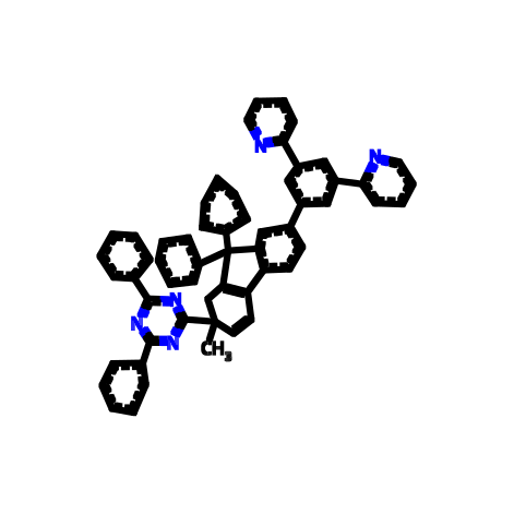 CC1(c2nc(-c3ccccc3)nc(-c3ccccc3)n2)C=CC2=C(C1)C(c1ccccc1)(c1ccccc1)c1cc(-c3cc(-c4ccccn4)cc(-c4ccccn4)c3)ccc12